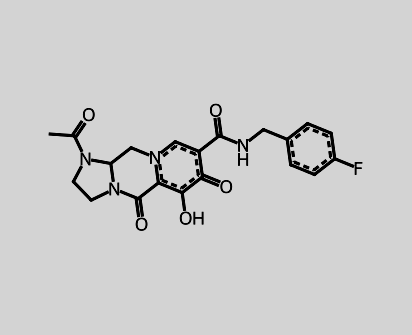 CC(=O)N1CCN2C(=O)c3c(O)c(=O)c(C(=O)NCc4ccc(F)cc4)cn3CC12